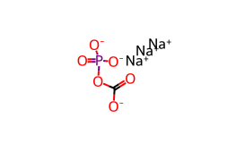 O=C([O-])OP(=O)([O-])[O-].[Na+].[Na+].[Na+]